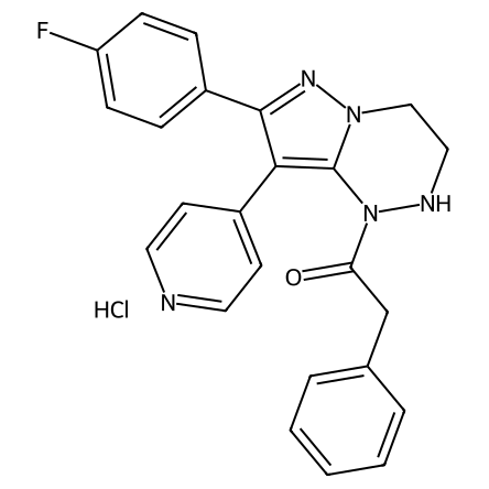 Cl.O=C(Cc1ccccc1)N1NCCn2nc(-c3ccc(F)cc3)c(-c3ccncc3)c21